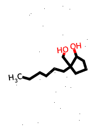 CCCCCCC1(CO)CCCC1O